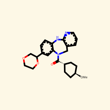 CO[C@H]1CC[C@H](C(=O)N2Cc3cccnc3Nc3ccc(C4COCCO4)cc32)CC1